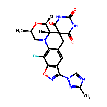 Cc1ncn(-c2noc3c(F)c4c(cc23)CC2(C(=O)NC(=O)NC2=O)[C@H]2[C@H](C)O[C@H](C)CN42)n1